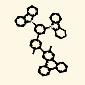 Cc1ccc(-c2cc(-n3c4c(c5ccccc53)CCC=C4)cc(-n3c4ccccc4c4ccccc43)c2)cc1-c1cc2c3ccccc3c3ccccc3c2cc1C